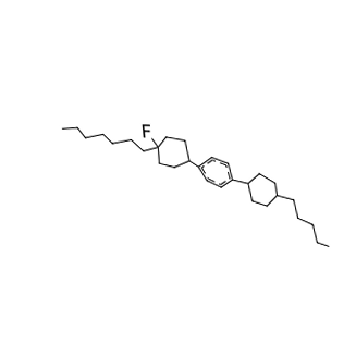 CCCCCCCC1(F)CCC(c2ccc(C3CCC(CCCCC)CC3)cc2)CC1